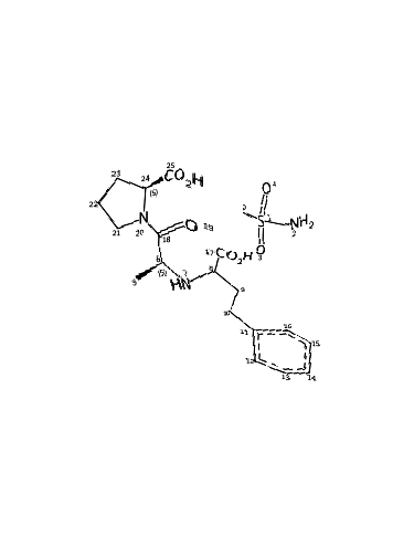 CS(N)(=O)=O.C[C@H](NC(CCc1ccccc1)C(=O)O)C(=O)N1CCC[C@H]1C(=O)O